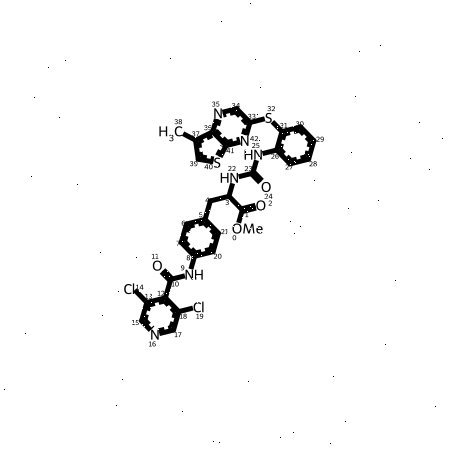 COC(=O)C(Cc1ccc(NC(=O)c2c(Cl)cncc2Cl)cc1)NC(=O)Nc1ccccc1Sc1cnc2c(C)csc2n1